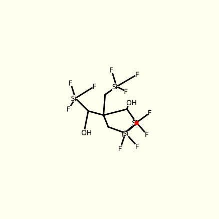 OC(C(C[Si](F)(F)F)(C[Si](F)(F)F)C(O)[Si](F)(F)F)[Si](F)(F)F